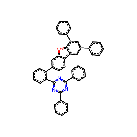 c1ccc(-c2cc(-c3ccccc3)c3oc4cc(-c5ccccc5-c5nc(-c6ccccc6)nc(-c6ccccc6)n5)ccc4c3c2)cc1